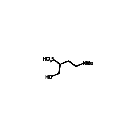 CNCCC(CO)S(=O)(=O)O